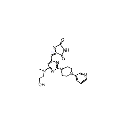 CN(CCO)c1cc(/C=C2/SC(=O)NC2=O)nc(N2CCN(c3cccnc3)CC2)n1